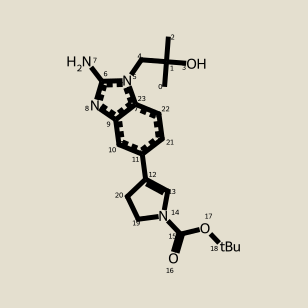 CC(C)(O)Cn1c(N)nc2cc(C3=CN(C(=O)OC(C)(C)C)CC3)ccc21